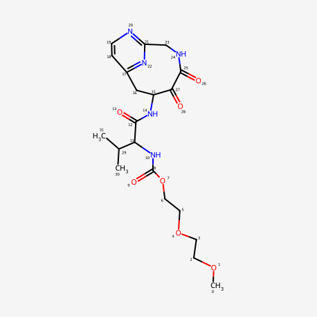 COCCOCCOC(=O)NC(C(=O)NC1Cc2ccnc(n2)CNC(=O)C1=O)C(C)C